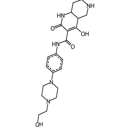 O=C(Nc1ccc(N2CCN(CCO)CC2)cc1)C1=C(O)C2CNCCC2NC1=O